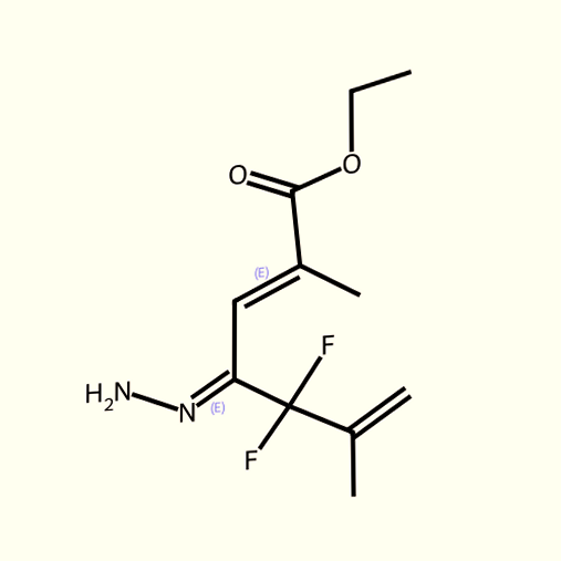 C=C(C)C(F)(F)C(/C=C(\C)C(=O)OCC)=N/N